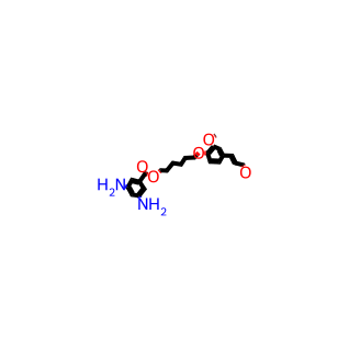 COc1cc(/C=C/C=O)ccc1OCCCCCCOC(=O)c1cc(N)cc(N)c1